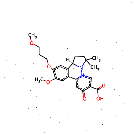 COCCCOc1cc2c(cc1OC)-c1cc(=O)c(C(=O)O)cn1N1[C@@H]2CCC1(C)C